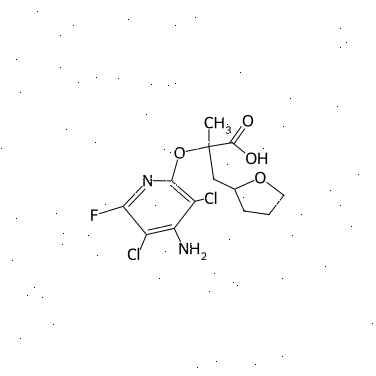 CC(CC1CCCO1)(Oc1nc(F)c(Cl)c(N)c1Cl)C(=O)O